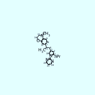 CC(C)c1cc(CC(C)c2ccc3c(c2)OCCN3C)cn1-c1ncccn1